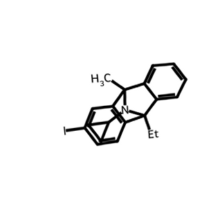 CCC12c3ccccc3C(C)(c3cc(I)ccc31)N2C1CC1